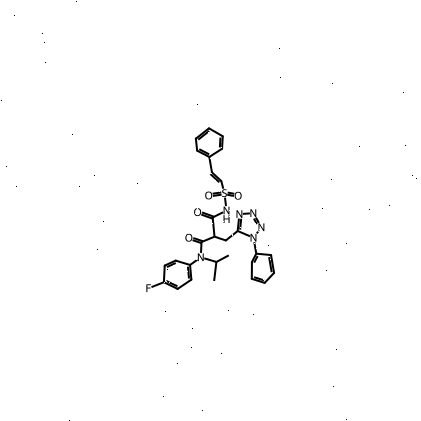 CC(C)N(C(=O)C(Cc1nnnn1-c1ccccc1)C(=O)NS(=O)(=O)C=Cc1ccccc1)c1ccc(F)cc1